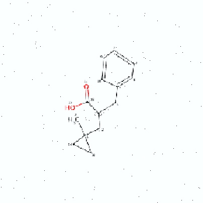 CC1(CC(Cc2ccccc2)C(=O)O)CC1